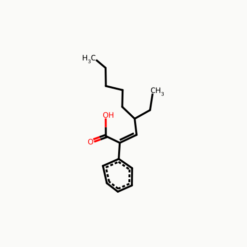 CCCCCC(C=C(C(=O)O)c1ccccc1)CC